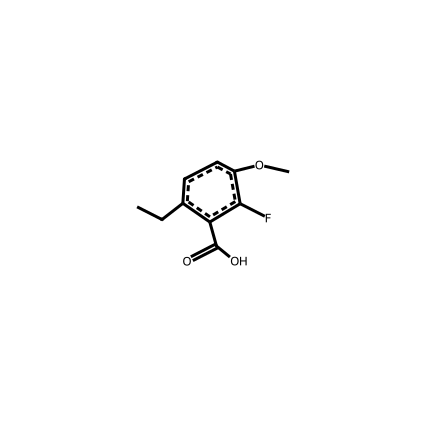 CCc1ccc(OC)c(F)c1C(=O)O